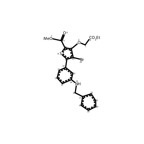 CCOC(=O)COc1c(C(=O)OC)sc(-c2cccc(NCc3ccccc3)c2)c1Br